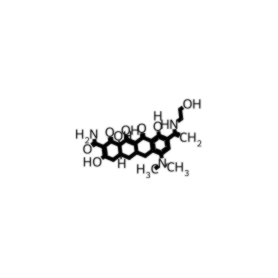 C=C(NCCO)c1cc(N(C)C)c2c(c1O)C(=O)C1=C(O)[C@]3(O)C(=O)C(C(N)=O)=C(O)C[C@@H]3CC1C2